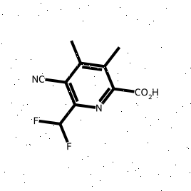 Cc1c(C(=O)O)nc(C(F)F)c(C#N)c1C